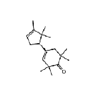 CC1=CC[C@H](C2=CC(C)(C)C(=O)C(C)(C)C2)C1(C)C